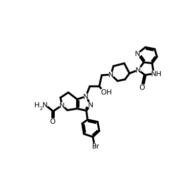 NC(=O)N1CCc2c(c(-c3ccc(Br)cc3)nn2CC(O)CN2CCC(n3c(=O)[nH]c4cccnc43)CC2)C1